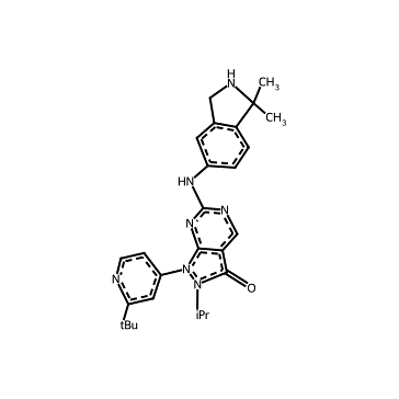 CC(C)n1c(=O)c2cnc(Nc3ccc4c(c3)CNC4(C)C)nc2n1-c1ccnc(C(C)(C)C)c1